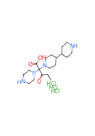 CCC(=O)C(C(=O)O)(N1CCNCC1)N1CCC(C2CCNCC2)CC1.Cl.Cl.Cl